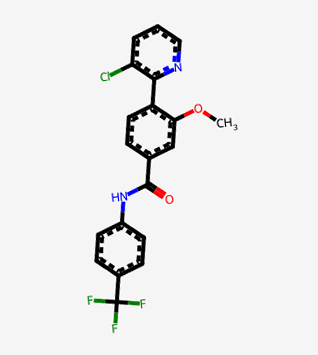 COc1cc(C(=O)Nc2ccc(C(F)(F)F)cc2)ccc1-c1ncccc1Cl